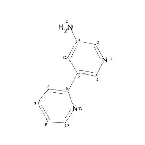 Nc1cncc(-c2ccccn2)c1